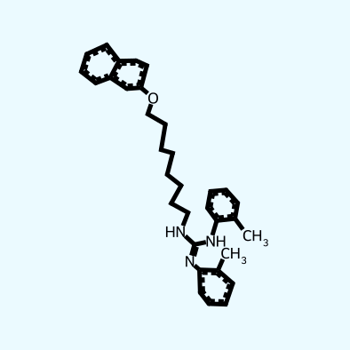 Cc1ccccc1/N=C(/NCCCCCCCCOc1ccc2ccccc2c1)Nc1ccccc1C